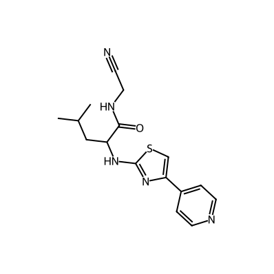 CC(C)CC(Nc1nc(-c2ccncc2)cs1)C(=O)NCC#N